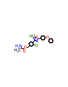 C[C@H](N)C(=O)OCc1ccc(-c2noc(-c3ccc(Oc4ccccc4)cc3)n2)c(Cl)c1.Cl